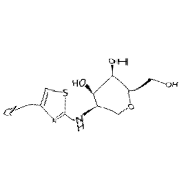 OC[C@H]1OC[C@@H](Nc2nc(Cl)cs2)[C@@H](O)[C@H]1O